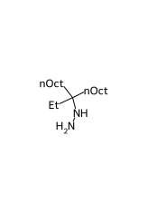 CCCCCCCCC(CC)(CCCCCCCC)NN